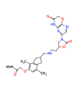 CNC(=O)COc1cc(C)c2c(c1C)CC(CNCCC1CN(c3cnc4c(n3)NC(=O)CO4)C(=O)O1)C2